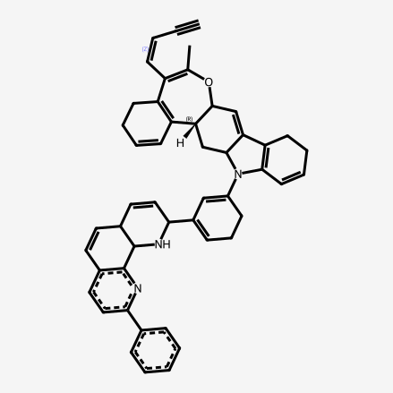 C#C/C=C\C1=C(C)OC2C=C3C4=C(C=CCC4)N(C4=CC(C5C=CC6C=Cc7ccc(-c8ccccc8)nc7C6N5)=CCC4)C3C[C@@H]2C2=C1CCC=C2